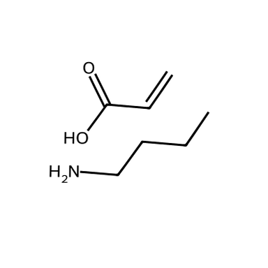 C=CC(=O)O.CCCCN